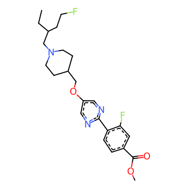 CCC(CCF)CN1CCC(COc2cnc(-c3ccc(C(=O)OC)cc3F)nc2)CC1